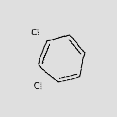 [C].[C].c1ccccc1